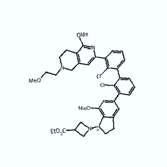 CCOC(=O)C1CN([C@@H]2CCc3cc(-c4cccc(-c5cccc(-c6cc7c(c(OC)n6)CCN(CCOC)C7)c5Cl)c4Cl)cc(OC)c32)C1